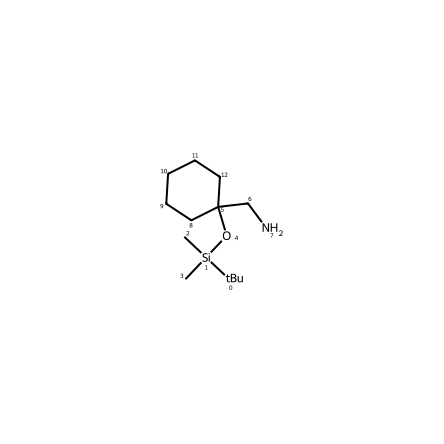 CC(C)(C)[Si](C)(C)OC1(CN)CCCCC1